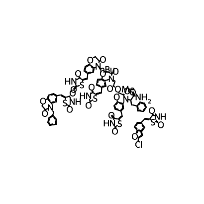 CCCCN1C(=O)COc2ccc(C=C3SC(=O)NC3=O)cc21.COC(=O)CN1C(=O)COc2ccc(C=C3SC(=O)NC3=O)cc21.NC(=O)C(Cc1ccccc1)N1C(=O)COc2ccc(C=C3SC(=O)NC3=O)cc21.O=C1NC(=O)C(=Cc2ccc3c(c2)N(Cc2ccccc2)C(=O)CO3)S1.O=C1NC(=O)C(=Cc2ccc3oc(Cl)cc3c2)S1